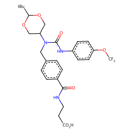 CC(C)(C)C1OCC(N(Cc2ccc(C(=O)NCCC(=O)O)cc2)C(=O)Nc2ccc(OC(F)(F)F)cc2)CO1